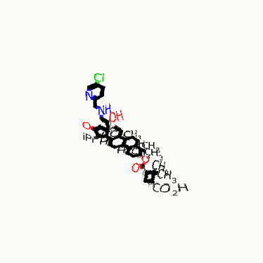 CC(C)C1=C2[C@H]3CC[C@@H]4[C@@]5(C)CC[C@H](OC(=O)[C@H]6C[C@@H](C(=O)O)C6(C)C)C(C)(C)[C@@H]5CC[C@@]4(C)[C@]3(C)CC[C@@]2([C@@H](O)CNCc2ccc(Cl)cn2)CC1=O